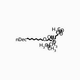 CCCCCCCCCCCCCCCCCCOCC(O)CS(=O)(=O)CCCOS(C)(=O)=O.CN(C)C